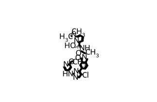 COc1cc(Nc2ncc(Cl)c(-c3ccc4c(c3)C(=O)N(C(C)C(=O)N[C@H](CO)c3cccc(N(C)C)n3)C4)n2)ccn1